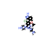 Cc1ccc2[nH]ncc2c1-c1c(Cl)cc2c(N3CCNCC3)nc(N3CC(N(C)C)C3)nc2c1OC1CC1